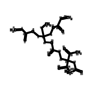 C=CC(=O)OCC(CC)(COC(=O)C=C)COC(=O)CCC(CC(C)=O)(C(C)=O)C(C)=O